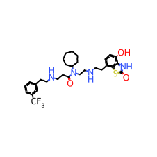 O=C(CCNCCc1cccc(C(F)(F)F)c1)N(CCNCCc1ccc(O)c2[nH]c(=O)sc12)C1CCCCCC1